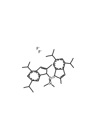 CC1=Cc2c(C(C)C)cc(C(C)C)cc2[CH]1[Zr+2]([CH]1C(C)=Cc2c(C(C)C)cc(C(C)C)cc21)=[Si](C)C.[F-].[F-]